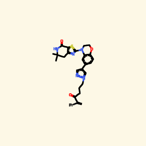 C=C(C(=O)CCCn1cc(-c2ccc3c(c2)N(c2nc4c(s2)C(=O)NC(C)(C)C4)CCO3)cn1)C(C)C